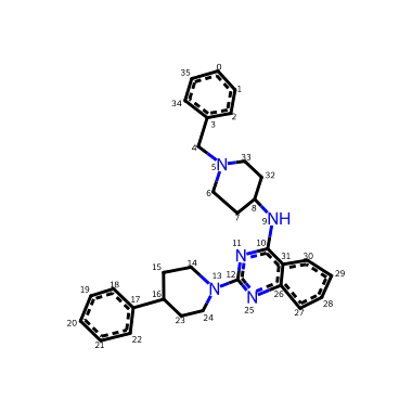 c1ccc(CN2CCC(Nc3nc(N4CCC(c5ccccc5)CC4)nc4ccccc34)CC2)cc1